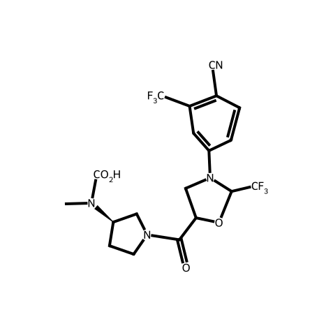 CN(C(=O)O)[C@@H]1CCN(C(=O)C2CN(c3ccc(C#N)c(C(F)(F)F)c3)C(C(F)(F)F)O2)C1